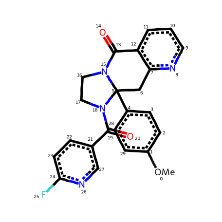 COc1ccc(C23Cc4ncccc4C(=O)N2CCN3C(=O)c2ccc(F)nc2)cc1